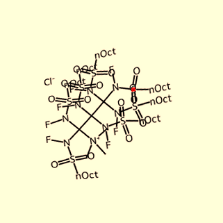 CCCCCCCCS(=O)(=O)N(F)C(N(F)S(=O)(=O)CCCCCCCC)(N(F)S(=O)(=O)CCCCCCCC)C(N(F)S(=O)(=O)CCCCCCCC)(N(F)S(=O)(=O)CCCCCCCC)C(N(F)S(=O)(=O)CCCCCCCC)(N(F)S(=O)(=O)CCCCCCCC)[N+](C)(C)C.[Cl-]